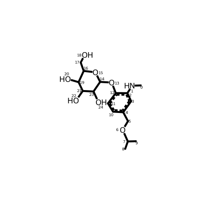 CNc1cc(COC(C)C)ccc1OC1OC(CO)C(O)C(O)C1O